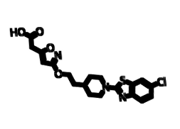 O=C(O)Cc1cc(OCCC2CCN(c3nc4ccc(Cl)cc4s3)CC2)no1